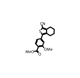 COC(=O)c1ccc(-c2sc(C#N)c3c2CCCC3)cc1OC